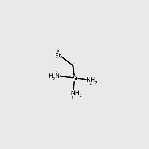 CCC[Si](N)(N)N